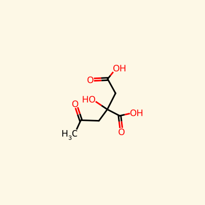 CC(=O)CC(O)(CC(=O)O)C(=O)O